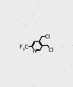 FC(F)(F)c1cc(CCl)c(CCl)cn1